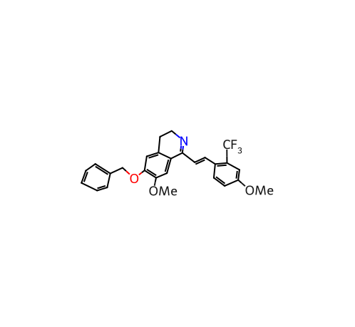 COc1ccc(C=CC2=NCCc3cc(OCc4ccccc4)c(OC)cc32)c(C(F)(F)F)c1